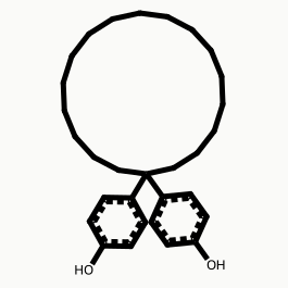 Oc1ccc(C2(c3ccc(O)cc3)CCCCCCCCCCCCCCCCC2)cc1